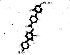 CCCCCCCOc1ccc(C2CCC(C(=O)Oc3ccc(C4CCC(C)CC4)c(F)c3F)CC2)c(F)c1